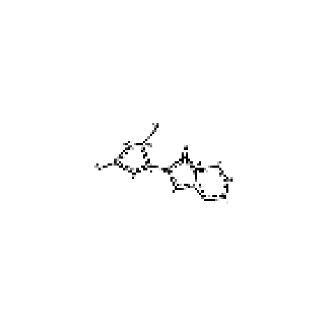 Cc1cc(-c2cn3ccccc3n2)c(C)s1